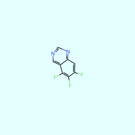 Fc1cc2n[c]ncc2c(F)c1F